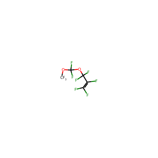 FC(F)=C(F)C(F)(F)OC(F)(F)OC(F)(F)F